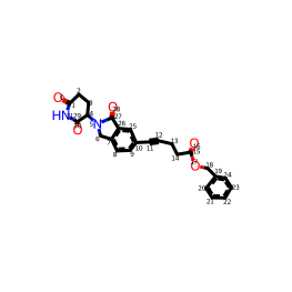 O=C1CCC(N2Cc3ccc(C#CCCC(=O)OCc4ccccc4)cc3C2=O)C(=O)N1